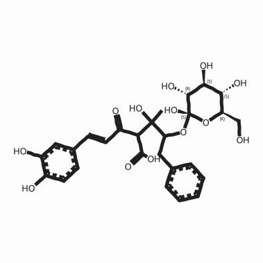 CC(O)(C(Cc1ccccc1)O[C@@]1(O)O[C@H](CO)[C@@H](O)[C@H](O)[C@H]1O)C(C(=O)O)C(=O)C=Cc1ccc(O)c(O)c1